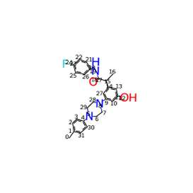 Cc1ccc(N2CCN(c3cc(O)cc(C(C)C(=O)Nc4ccc(F)cc4)c3)CC2)cc1